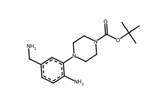 CC(C)(C)OC(=O)N1CCN(c2cc(CN)ccc2N)CC1